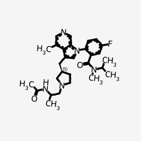 CC(=O)NC(C)CN1CC[C@H](Cc2cn(-c3ccc(F)cc3C(=O)N(C)C(C)C)c3cncc(C)c23)C1